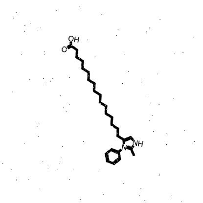 Cc1[nH]cc(CCCCCCCCCCCCCCCCC(=O)O)[n+]1-c1ccccc1